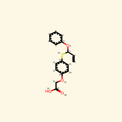 C=CC(Oc1ccccc1)Sc1ccc(OCC(=O)O)cc1